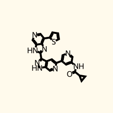 O=C(Nc1cncc(-c2cc3c(-c4nc5c(-c6cccs6)cncc5[nH]4)n[nH]c3cn2)c1)C1CC1